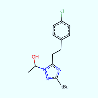 CC(O)n1nc(C(C)(C)C)nc1CCc1ccc(Cl)cc1